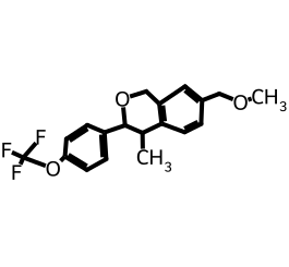 COCc1ccc2c(c1)COC(c1ccc(OC(F)(F)F)cc1)C2C